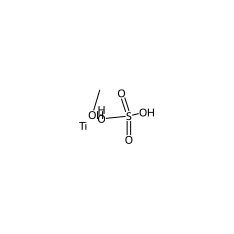 CO.O=S(=O)(O)O.[Ti]